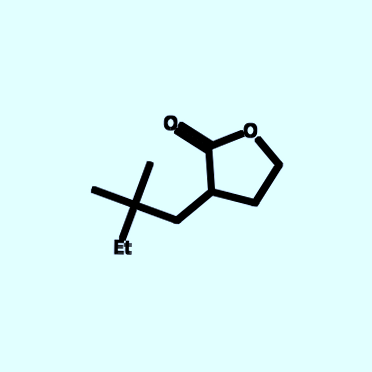 CCC(C)(C)CC1CCOC1=O